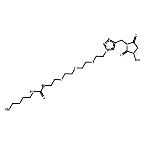 CC(C)(C)CCCCNC(=O)NCCOCCOCCOCCn1cc(CN2C(=O)CC(C(C)(C)C)C2=O)nn1